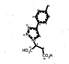 Cc1ccc(-c2cn(C(CC(=O)O)C(=O)O)nn2)cc1